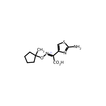 CC1(O/N=C(\C(=O)O)c2csc(N)n2)CCCC1